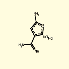 Cl.Cl.N=C(N)c1csc(N)c1